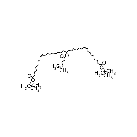 CN(C)CCCC(=O)OC(CCCCCC/C=C\CCCCCCCC(=O)OCC(C)(C)C)CCCCCCCC/C=C\CCCCCCCC(=O)OCC(C)(C)C